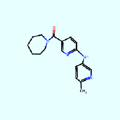 Cc1ccc(Nc2ccc(C(=O)N3CCCCCC3)cn2)cn1